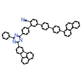 N#Cc1ccc(-c2ccc(-c3ccc(-c4cccc5c4ccc4ccccc45)cc3)cc2)cc1-c1ccc(-c2nc(-c3ccccc3)nc(-c3ccc4c(c3)-c3cccc5cccc-4c35)n2)cc1